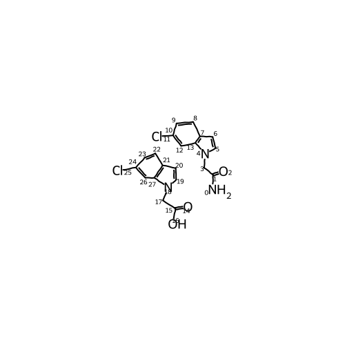 NC(=O)Cn1ccc2ccc(Cl)cc21.O=C(O)Cn1ccc2ccc(Cl)cc21